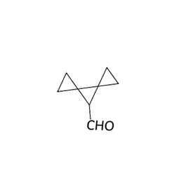 O=CC1C2(CC2)C12CC2